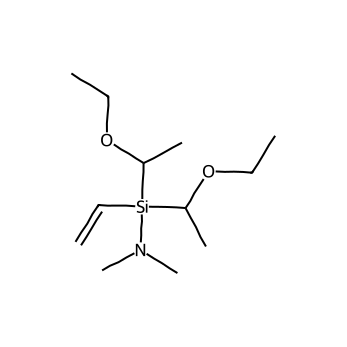 C=C[Si](C(C)OCC)(C(C)OCC)N(C)C